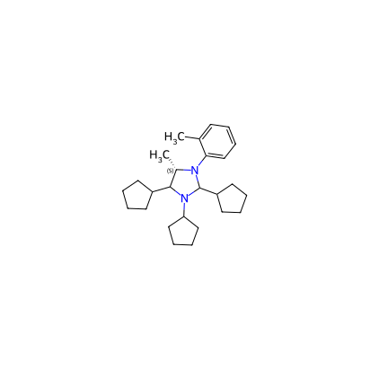 Cc1ccccc1N1C(C2CCCC2)N(C2CCCC2)C(C2CCCC2)[C@@H]1C